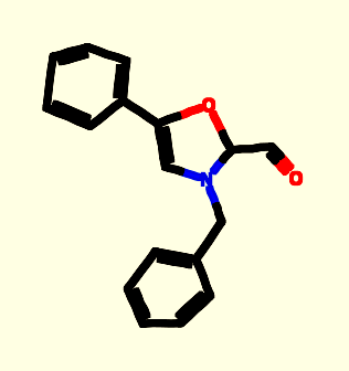 O=CC1OC(c2ccccc2)=CN1Cc1ccccc1